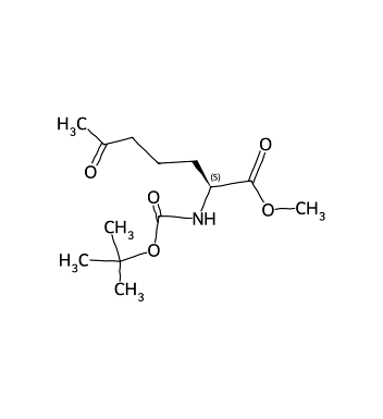 COC(=O)[C@H](CCCC(C)=O)NC(=O)OC(C)(C)C